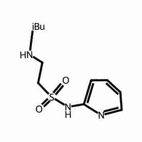 CCC(C)NCCS(=O)(=O)Nc1ccccn1